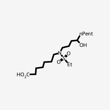 CCCCCC(O)CCCN(CCCCCCC(=O)O)S(=O)(=O)CC